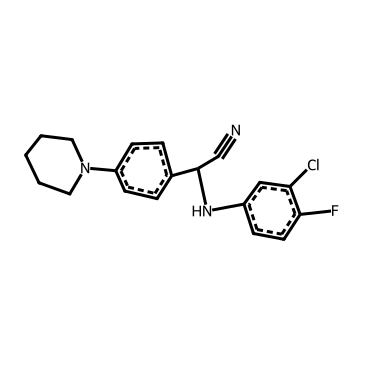 N#CC(Nc1ccc(F)c(Cl)c1)c1ccc(N2CCCCC2)cc1